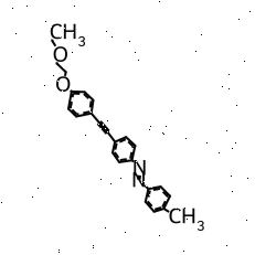 CCOCCOc1ccc(C#Cc2ccc(N=Nc3ccc(C)cc3)cc2)cc1